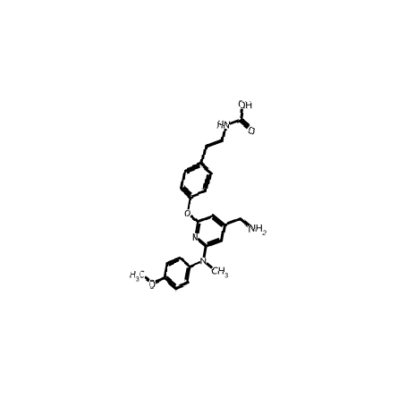 COc1ccc(N(C)c2cc(CN)cc(Oc3ccc(CCNC(=O)O)cc3)n2)cc1